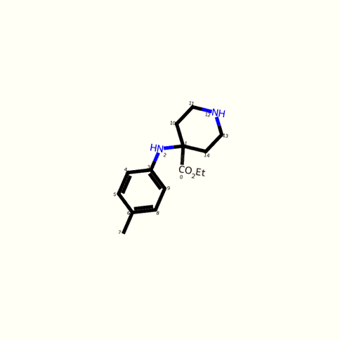 CCOC(=O)C1(Nc2ccc(C)cc2)CCNCC1